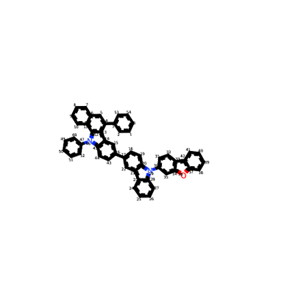 c1ccc(-c2cc3ccccc3c3c2c2cc(-c4ccc5c(c4)c4ccccc4n5-c4ccc5c(c4)oc4ccccc45)ccc2n3-c2ccccc2)cc1